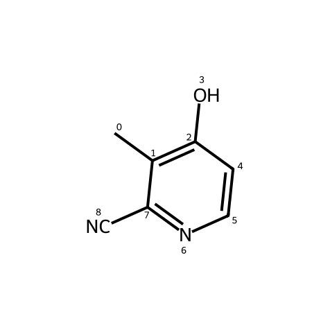 Cc1c(O)ccnc1C#N